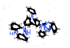 c1ccc(-n2c3ccc(-n4[nH]c5ccccc5[nH]c5ccccc54)cc3c3cc(-n4c5ccccc5n5c6ccccc6nc45)ccc32)cc1